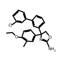 CCOc1ccc(C2(c3cccc(-c4cccc(Cl)c4)c3)COC(N)=N2)cc1C